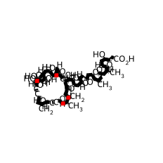 C=C1C[C@@H]2CC[C@@]34O[C@@H]5[C@@H]6O[C@@](O)([C@H](O3)[C@@H]6O[C@H]3CC[C@H](CC(=O)O[C@@H]6[C@@H](C)[C@@H]7O[C@@H]8C[C@]9(CC%10O[C@@]%11(C[C@H](C)C%10O9)C[C@H](C)[C@@H]9O[C@H](CC(=O)O)[C@H](O)C[C@@H]9O%11)O[C@@H]8CC7O[C@H]6C[C@H]6O[C@@H](CC[C@@H]1O2)C[C@@H](C)C6=C)O[C@H]53)[C@H]4O